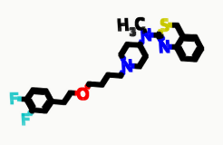 CN(C1=Nc2ccccc2CS1)C1CCN(CCCCOCCc2ccc(F)c(F)c2)CC1